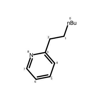 CCCCCCc1c[c]ccn1